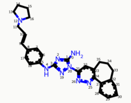 Nc1nc(Nc2ccc(C=CCN3CCCC3)cc2)nn1-c1cc2c(nn1)-c1ccccc1CCC2